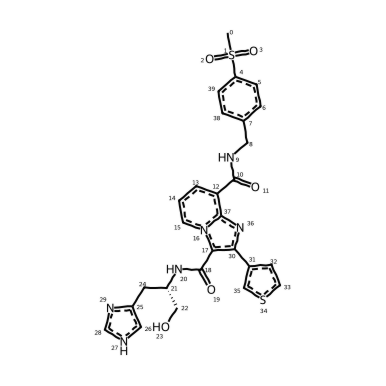 CS(=O)(=O)c1ccc(CNC(=O)c2cccn3c(C(=O)N[C@H](CO)Cc4c[nH]cn4)c(-c4ccsc4)nc23)cc1